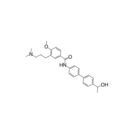 COc1ccc(C(=O)Nc2ccc(-c3ccc(C(C)O)cc3)cc2)cc1CCCN(C)C